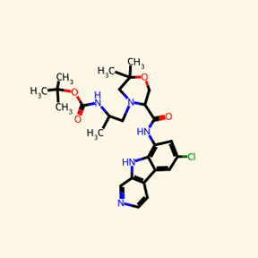 CC(CN1CC(C)(C)OCC1C(=O)Nc1cc(Cl)cc2c1[nH]c1cnccc12)NC(=O)OC(C)(C)C